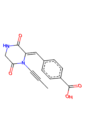 CC#CN1C(=O)CNC(=O)C1=Cc1ccc(C(=O)O)cc1